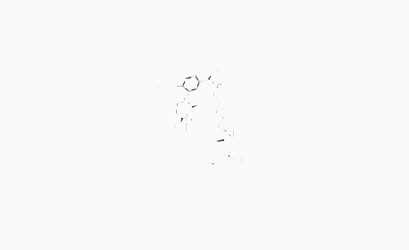 Cc1ccc(C(=O)N(C)CCCCCNC(=O)OC(C)(C)C)cc1N1CCC(=O)NC1=O